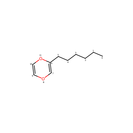 CCCCCCC1=COC=CO1